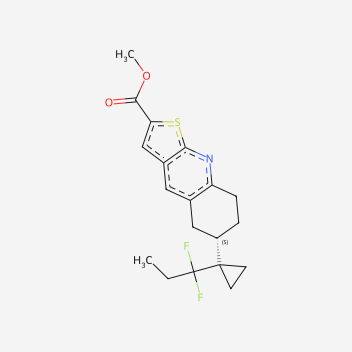 CCC(F)(F)C1([C@H]2CCc3nc4sc(C(=O)OC)cc4cc3C2)CC1